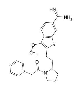 COc1c(CCC2CCCN2C(=O)Cc2ccccc2)sc2cc(C(=N)N)ccc12